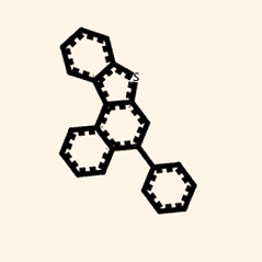 c1ccc(-c2cc3sc4ccccc4c3c3ccccc23)cc1